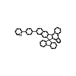 c1ccc(-c2ccc(-c3ccc4cc5c(cc4c3)C3(c4ccccc4-c4ccccc43)c3c-5c4ccccc4c4ccccc34)cc2)nc1